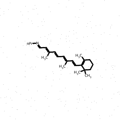 CCC/N=C/C=C(C)/C=C/C=C(C)/C=C/C1=C(C)CCCC1(C)C